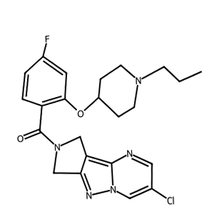 CCCN1CCC(Oc2cc(F)ccc2C(=O)N2Cc3nn4cc(Cl)cnc4c3C2)CC1